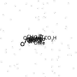 CC[C@H](C)[C@@H]([C@@H](CC(=O)N1CCC[C@H]1[C@H](OC)[C@@H](C)C(=O)NCCC1C=CC=CC=C1)OC)N(C)C(=O)[C@@H](NC(=O)[C@]1(F)CCC(C(=O)O)C1)C(C)C